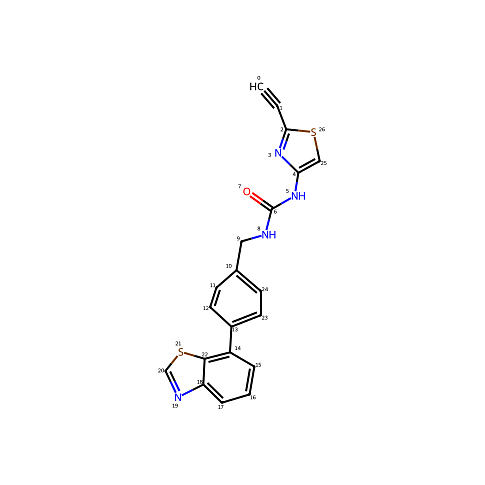 C#Cc1nc(NC(=O)NCc2ccc(-c3cccc4ncsc34)cc2)cs1